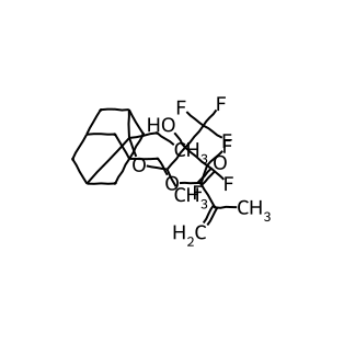 C=C(C)C(=O)OCC12CC3CC(C1)C(CC)(OC(C)C(O)(C(F)(F)F)C(F)(F)F)C(C3)C2